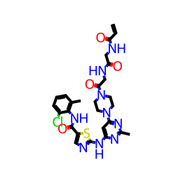 C=CC(=O)NCC(=O)NCC(=O)N1CCN(c2cc(Nc3ncc(C(=O)Nc4c(C)cccc4Cl)s3)nc(C)n2)CC1